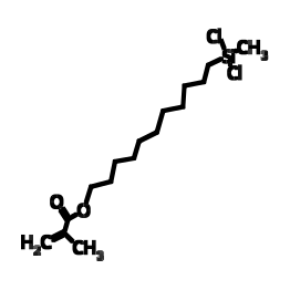 C=C(C)C(=O)OCCCCCCCCCCC[Si](C)(Cl)Cl